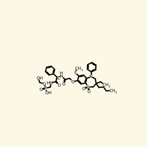 CCCCC1(CC)CN(c2ccccc2)c2cc(SC)c(OCC(=O)N[C@@H](C(=O)NCP(=O)(O)OCO)c3ccccc3)cc2S(=O)(=O)C1